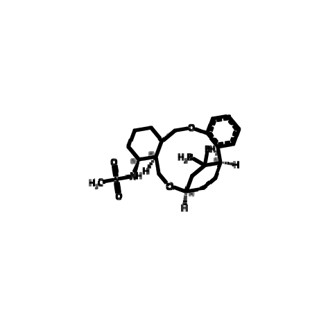 BC1(B)C[C@H]2CC[C@@H]1c1ccccc1OCC1CCC[C@H](NS(C)(=O)=O)[C@@H]1CO2